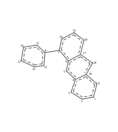 [c]1cccc2cc3c(-c4ccccc4)cccc3cc12